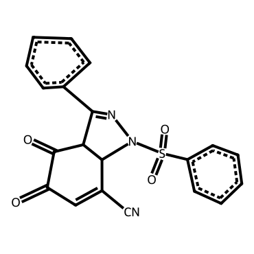 N#CC1=CC(=O)C(=O)C2C(c3ccccc3)=NN(S(=O)(=O)c3ccccc3)C12